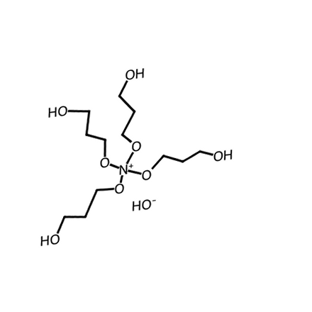 OCCCO[N+](OCCCO)(OCCCO)OCCCO.[OH-]